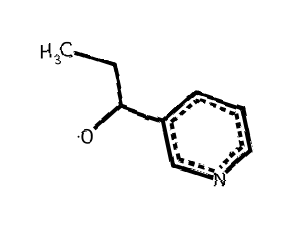 CCC([O])c1cccnc1